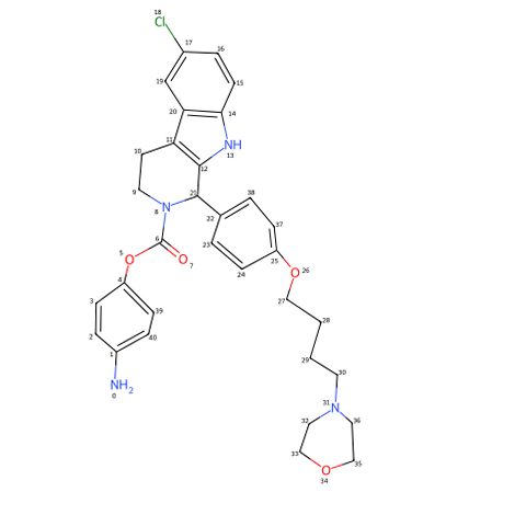 Nc1ccc(OC(=O)N2CCc3c([nH]c4ccc(Cl)cc34)C2c2ccc(OCCCCN3CCOCC3)cc2)cc1